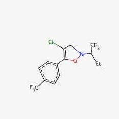 CCC(N1CC(Cl)=C(c2ccc(C(F)(F)F)cc2)O1)C(F)(F)F